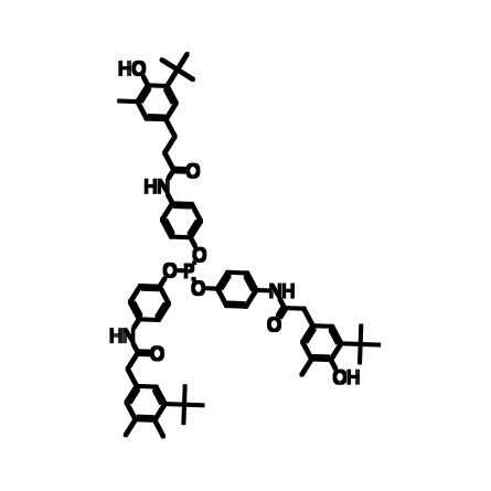 Cc1cc(CC(=O)Nc2ccc(OP(Oc3ccc(NC(=O)CCc4cc(C)c(O)c(C(C)(C)C)c4)cc3)Oc3ccc(NC(=O)Cc4cc(C)c(O)c(C(C)(C)C)c4)cc3)cc2)cc(C(C)(C)C)c1C